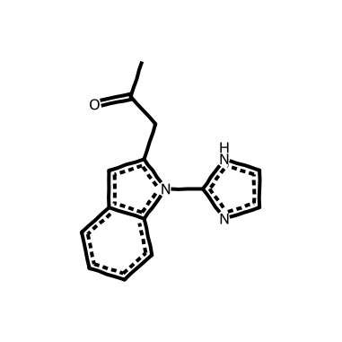 CC(=O)Cc1cc2ccccc2n1-c1ncc[nH]1